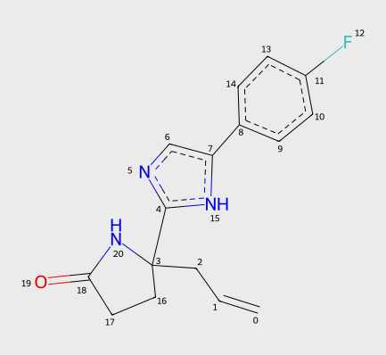 C=CCC1(c2ncc(-c3ccc(F)cc3)[nH]2)CCC(=O)N1